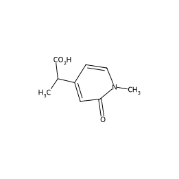 CC(C(=O)O)c1ccn(C)c(=O)c1